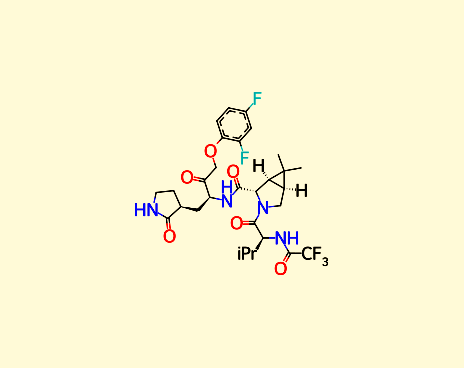 CC(C)[C@H](NC(=O)C(F)(F)F)C(=O)N1C[C@H]2[C@@H]([C@H]1C(=O)N[C@@H](C[C@@H]1CCNC1=O)C(=O)COc1ccc(F)cc1F)C2(C)C